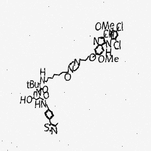 COc1cc(Nc2c(C#N)cnc3cc(OCCCN4CCN(C(=O)CCCCCCNC(C(=O)N5CC(O)CC5C(=O)NCc5ccc(-c6scnc6C)cc5)C(C)(C)C)CC4)c(OC)cc23)c(Cl)cc1Cl